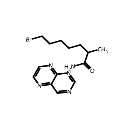 CC(CCCCCBr)C(N)=O.c1cnc2ncncc2n1